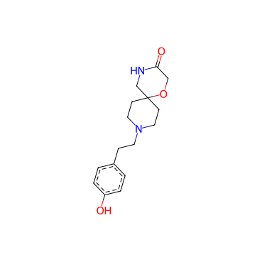 O=C1COC2(CCN(CCc3ccc(O)cc3)CC2)CN1